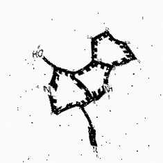 N#Cc1cnc(O)c2c1[nH]c1ccccc12